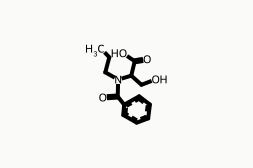 CCCN(C(=O)c1ccccc1)C(CO)C(=O)O